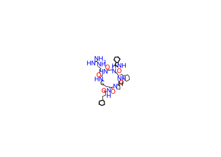 N=C(N)NCCC[C@@H]1NC(=O)[C@H](Cc2c[nH]c3ccccc23)NC(=O)[C@@H](CC2CCCCC2)NC(=O)[C@@H]2CCCN2C(=O)[C@@H](NC(=O)CCc2ccccc2)CCCNC1=O